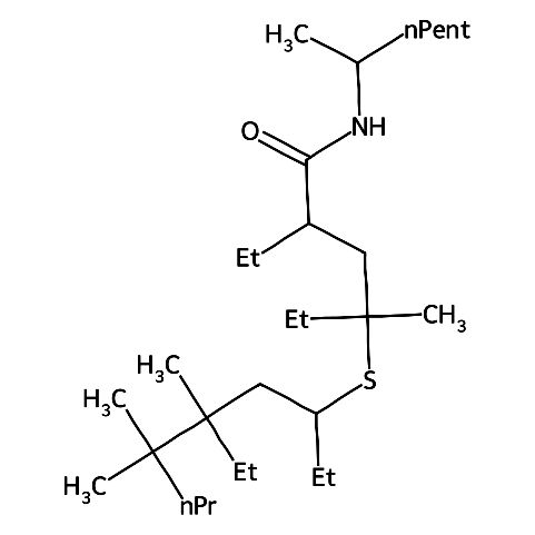 CCCCCC(C)NC(=O)C(CC)CC(C)(CC)SC(CC)CC(C)(CC)C(C)(C)CCC